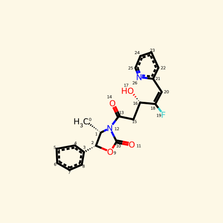 C[C@H]1[C@@H](c2ccccc2)OC(=O)N1C(=O)C[C@H](O)/C(F)=C\c1ccccn1